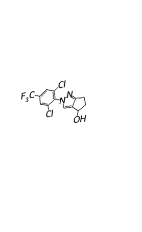 OC1CCc2nn(-c3c(Cl)cc(C(F)(F)F)cc3Cl)cc21